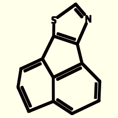 c1cc2c3c(cccc3c1)-c1scnc1-2